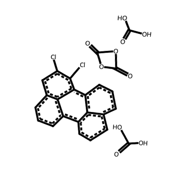 Clc1cc2cccc3c4cccc5cccc(c(c1Cl)c23)c54.O=C(O)O.O=C(O)O.O=C1OC(=O)O1